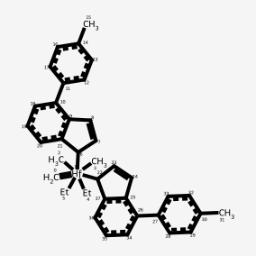 [CH2]=[Hf]([CH3])([CH3])([CH2]C)([CH2]C)([CH]1C=Cc2c(-c3ccc(C)cc3)cccc21)[CH]1C=Cc2c(-c3ccc(C)cc3)cccc21